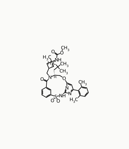 COC(=O)NC1(C)CC(CN2C(=O)c3cccc(c3)S(=O)(=O)Nc3nc(cc(-c4c(C)cccc4C)n3)OC[C@H]2CC(C)(C)C)C1